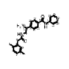 Cc1ccc(C)c(CC(=O)NCC(N)c2ccc(C(=O)Nc3ccncc3)cc2)c1